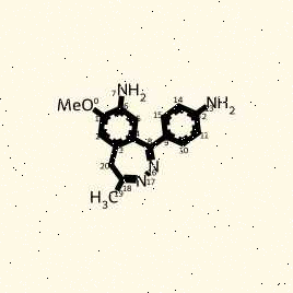 COc1cc2c(cc1N)C(c1ccc(N)cc1)=NN=C(C)C2